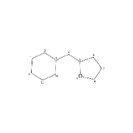 C1CC[C](CC2CCCO2)CC1